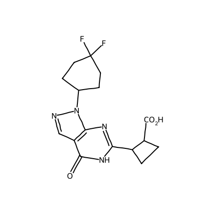 O=C(O)C1CCC1c1nc2c(cnn2C2CCC(F)(F)CC2)c(=O)[nH]1